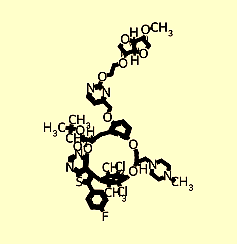 CO[C@@H]1CO[C@H]2[C@@H]1OC[C@H]2OCCOc1nccc(COc2ccc3cc2C[C@H](C(=O)OC(C)(C)C)Oc2ncnc4sc(-c5ccc(F)cc5)c(c24)-c2c(C)c(Cl)c(c(Cl)c2C)O[C@H](CN2CCN(C)CC2)CO3)n1